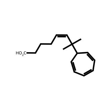 CC(C)(/C=C\CCCC(=O)O)C1C=CC=CC=C1